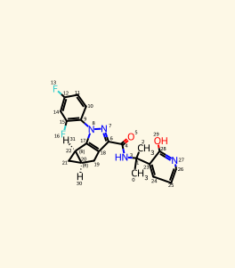 CC(C)(NC(=O)c1nn(-c2ccc(F)cc2F)c2c1C[C@H]1C[C@@H]21)c1cccnc1O